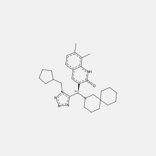 Cc1ccc2cc([C@H](c3nnnn3CC3CCCC3)N3CCCC4(CCCCC4)C3)c(=O)[nH]c2c1C